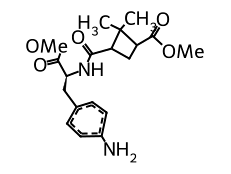 COC(=O)C1CC(C(=O)N[C@@H](Cc2ccc(N)cc2)C(=O)OC)C1(C)C